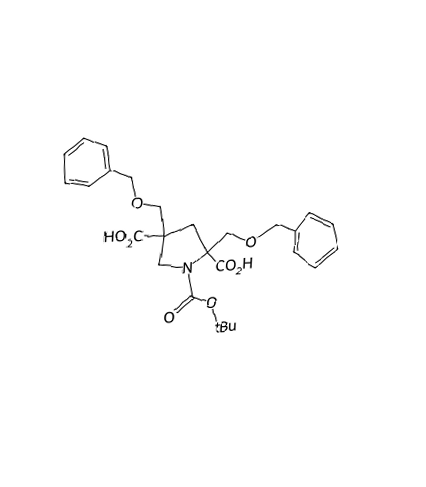 CC(C)(C)OC(=O)N1CC(COCc2ccccc2)(C(=O)O)CC1(COCc1ccccc1)C(=O)O